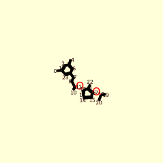 Cc1cc(C)cc(CCC(C)Oc2cccc(OC(C)C)c2C)c1